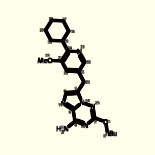 CCCCOc1nc(N)c2ncc(Cc3cnc(C4CCCCC4)c(OC)c3)n2n1